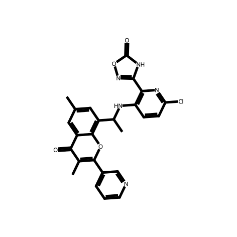 Cc1cc(C(C)Nc2ccc(Cl)nc2-c2noc(=O)[nH]2)c2oc(-c3cccnc3)c(C)c(=O)c2c1